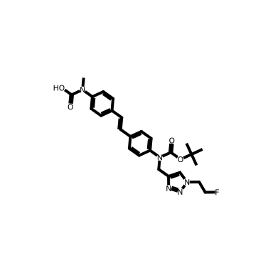 CN(C(=O)O)c1ccc(C=Cc2ccc(N(Cc3cn(CCF)nn3)C(=O)OC(C)(C)C)cc2)cc1